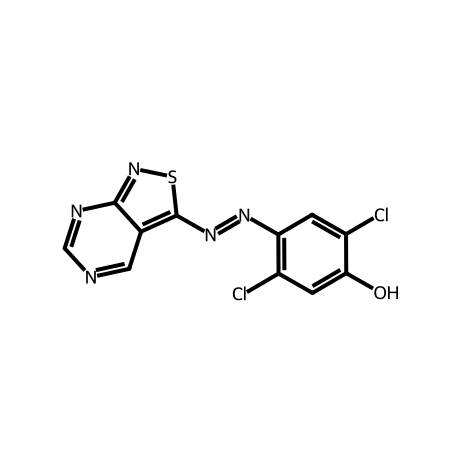 Oc1cc(Cl)c(/N=N/c2snc3ncncc23)cc1Cl